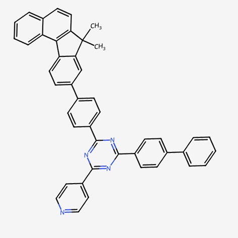 CC1(C)c2cc(-c3ccc(-c4nc(-c5ccncc5)nc(-c5ccc(-c6ccccc6)cc5)n4)cc3)ccc2-c2c1ccc1ccccc21